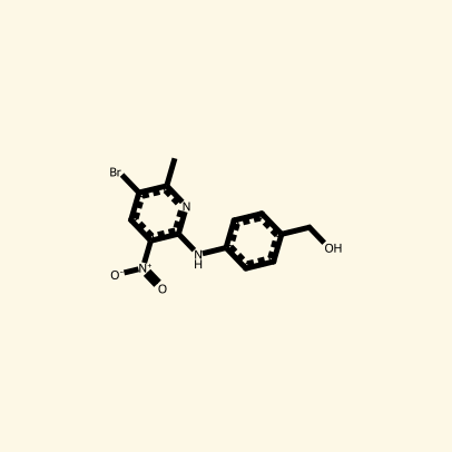 Cc1nc(Nc2ccc(CO)cc2)c([N+](=O)[O-])cc1Br